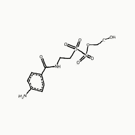 Nc1ccc(C(=O)NCCS(=O)(=O)S(=O)(=O)OCCO)cc1